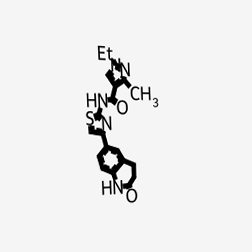 CCn1cc(C(=O)Nc2nc(-c3ccc4c(c3)CCC(=O)N4)cs2)c(C)n1